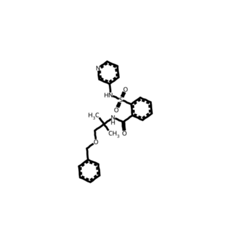 CC(C)(COCc1ccccc1)NC(=O)c1ccccc1S(=O)(=O)Nc1cccnc1